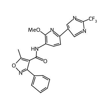 COc1nc(-c2cnc(C(F)(F)F)nc2)ccc1NC(=O)c1c(-c2ccccc2)noc1C